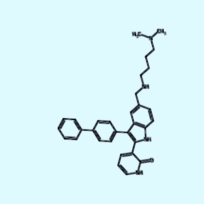 CN(C)CCCCNCc1ccc2[nH]c(-c3ccc[nH]c3=O)c(-c3ccc(-c4ccccc4)cc3)c2c1